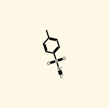 [C-]#[N+]S(=O)(=O)c1ccc(C)cc1